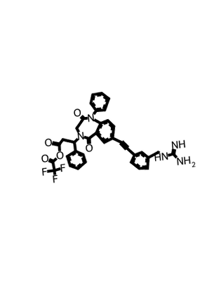 N=C(N)NCc1cccc(C#Cc2ccc3c(c2)C(=O)N(C(CC(=O)OC(=O)C(F)(F)F)c2ccccc2)CC(=O)N3c2ccccc2)c1